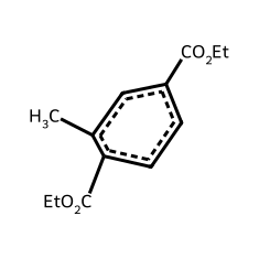 CCOC(=O)c1ccc(C(=O)OCC)c(C)c1